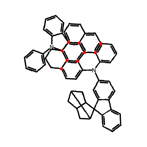 c1ccc(-n2c3ccccc3c3cc(-c4ccccc4N(c4ccc5c(c4)C4(c6ccccc6-5)C5CC6CC5CC64)c4ccccc4-c4cccc5cccc(C6CCCCC6)c45)ccc32)cc1